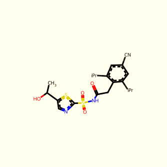 CC(C)c1cc(C#N)cc(C(C)C)c1CC(=O)NS(=O)(=O)c1ncc(C(C)O)s1